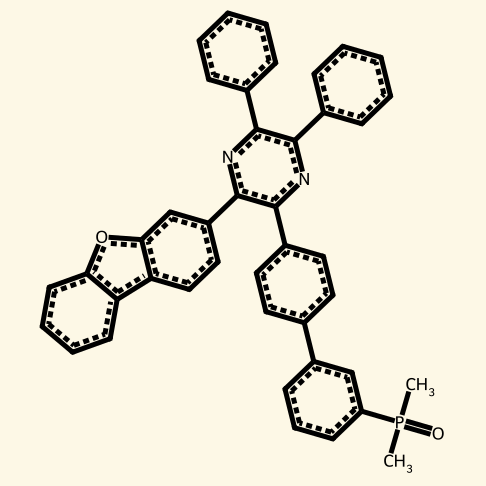 CP(C)(=O)c1cccc(-c2ccc(-c3nc(-c4ccccc4)c(-c4ccccc4)nc3-c3ccc4c(c3)oc3ccccc34)cc2)c1